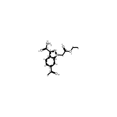 CCOC(=O)Cn1nc(C(N)=O)c2ccc(C(C)=O)cc21